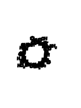 CCCC[C@H]1C(=O)N(C)CC(=O)N[C@@H](CC(=O)O)C(=O)N[C@@H](C(C)C)C(=O)N(C)[C@@H](Cc2ccccc2)C(=O)N[C@@H](Cc2ccc(O)cc2)C(=O)N(C)CC(=O)N[C@@H](Cc2c[nH]c3ccccc23)C(=O)N[C@@H](Cc2ccc(O)cc2)C(=O)N[C@@H](CC(C)C)C(=O)N[C@H](C(=O)NCC(N)=O)CSCC(=O)N[C@@H](Cc2ccc3ccccc3c2)C(=O)N(C)[C@@H](Cc2ccccc2)C(=O)N1C